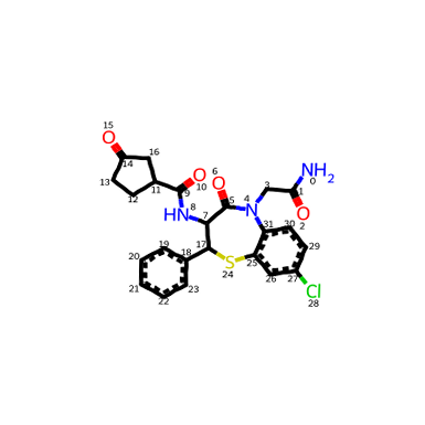 NC(=O)CN1C(=O)C(NC(=O)C2CCC(=O)C2)C(c2ccccc2)Sc2cc(Cl)ccc21